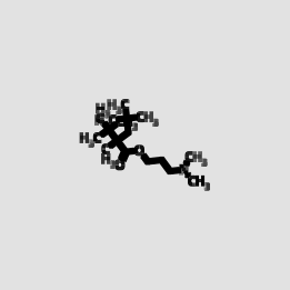 CN(C)CCCOC(=O)C(C)(CC(C)(C)C)C(C)(C)C